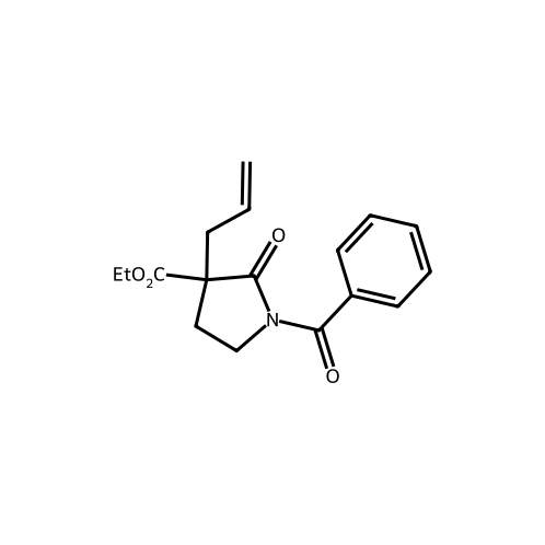 C=CCC1(C(=O)OCC)CCN(C(=O)c2ccccc2)C1=O